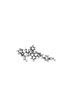 C[C@@H](NC(=O)c1c(N)nn2cccnc12)c1cc2cccc(-c3cnn(CCN4CCN(C)CC4)c3)c2c(=O)n1-c1ccccc1